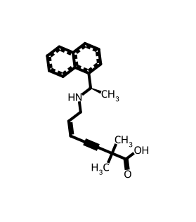 C[C@@H](NC/C=C\C#CC(C)(C)C(=O)O)c1cccc2ccccc12